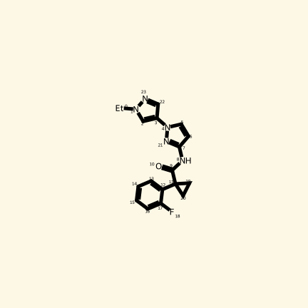 CCn1cc(-n2ccc(NC(=O)C3(c4ccccc4F)CC3)n2)cn1